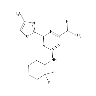 Cc1csc(-c2nc(NC3CCCCC3(F)F)cc(C(C)F)n2)n1